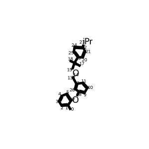 Cc1ccccc1Oc1cccc(COCC(C)(C)c2ccc(C(C)C)cc2)c1